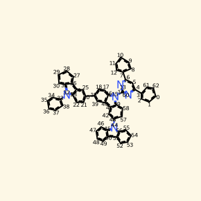 c1ccc(-c2cc(-c3ccccc3)nc(-n3c4ccc(-c5ccc6c(c5)c5ccccc5n6-c5ccccc5)cc4c4cc(-n5c6ccccc6c6ccccc65)ccc43)n2)cc1